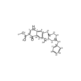 COC(=O)c1c[nH]c2cc(CN3CCN(Cc4ccccc4)CC3)c(OC)cc2c1=O